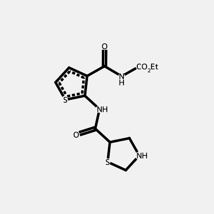 CCOC(=O)NC(=O)c1ccsc1NC(=O)C1CNCS1